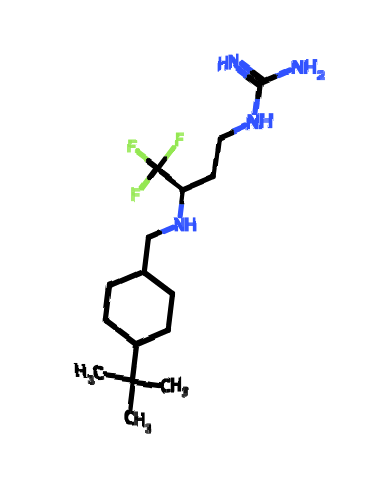 CC(C)(C)C1CCC(CNC(CCNC(=N)N)C(F)(F)F)CC1